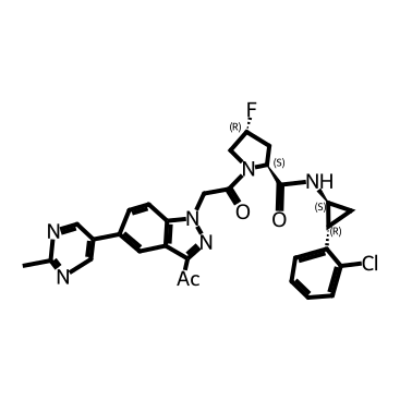 CC(=O)c1nn(CC(=O)N2C[C@H](F)C[C@H]2C(=O)N[C@H]2C[C@@H]2c2ccccc2Cl)c2ccc(-c3cnc(C)nc3)cc12